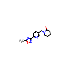 O=C1CCCCN1Cc1ccc(-c2noc(C(F)(F)F)n2)nc1